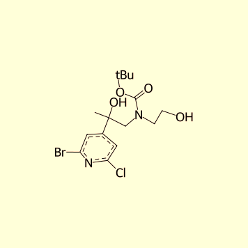 CC(C)(C)OC(=O)N(CCO)CC(C)(O)c1cc(Cl)nc(Br)c1